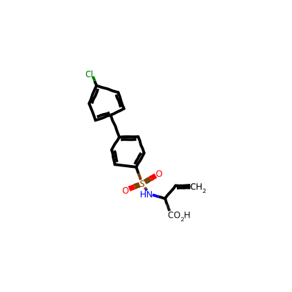 C=CC(NS(=O)(=O)c1ccc(-c2ccc(Cl)cc2)cc1)C(=O)O